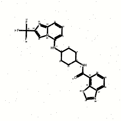 O=C(NC1CCC(Nc2cccc3nc(C(F)(F)F)cn23)CC1)c1cccc2ncsc12